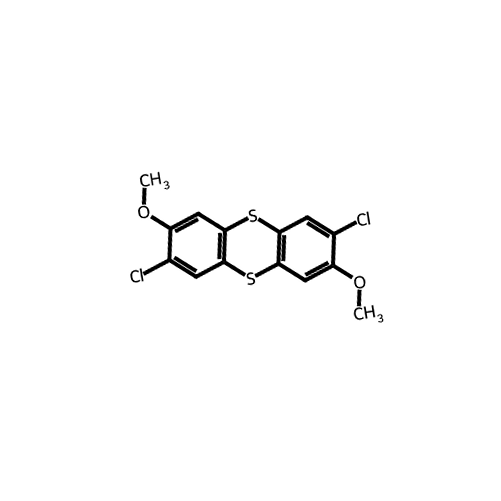 COc1cc2c(cc1Cl)Sc1cc(OC)c(Cl)cc1S2